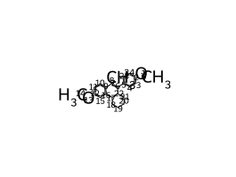 COc1ccc(C2=C(C)c3ccc(OC)cc3C3CCCCC23)cc1